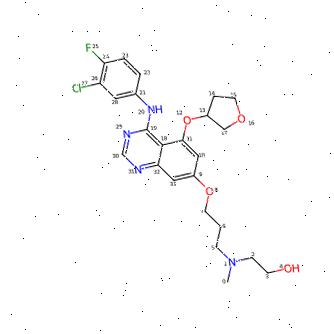 CN(CCO)CCCOc1cc(OC2CCOC2)c2c(Nc3ccc(F)c(Cl)c3)ncnc2c1